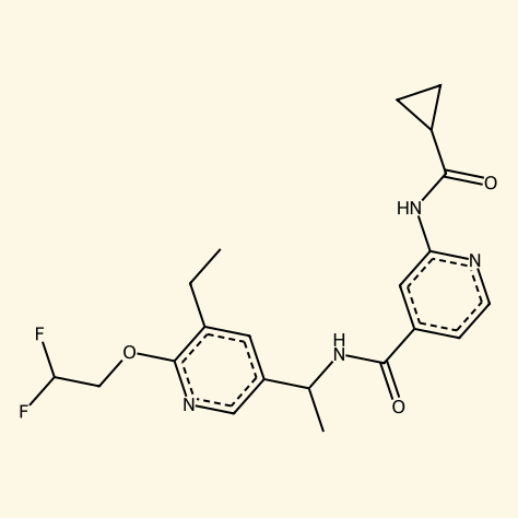 CCc1cc(C(C)NC(=O)c2ccnc(NC(=O)C3CC3)c2)cnc1OCC(F)F